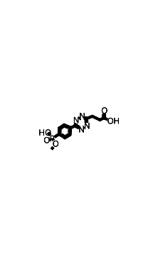 COP(=O)(O)c1ccc(-c2nnc(CCC(=O)O)nn2)cc1